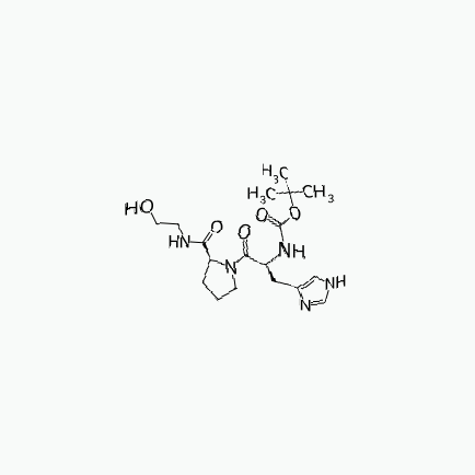 CC(C)(C)OC(=O)N[C@@H](Cc1c[nH]cn1)C(=O)N1CCC[C@H]1C(=O)NCCO